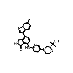 Cc1ccc2c(-c3ccc(Nc4ccc(N5CCO[C@H](C(C)(C)O)C5)cn4)c4c3CNC4=O)cnn2c1